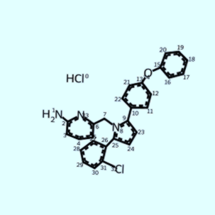 Cl.Nc1cccc(Cn2c(-c3ccc(Oc4ccccc4)cc3)ccc2-c2ccccc2Cl)n1